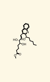 CCCCC[C@@H](O)c1nc2ccccc2cc1/C=C/[C@@H](O)[C@@H](O)CCCC(=O)OC